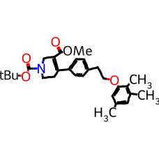 COC(=O)C1=C(c2ccc(CCOc3cc(C)cc(C)c3C)cc2)CCN(C(=O)OC(C)(C)C)C1